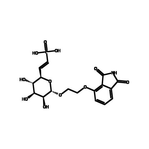 O=C1NC(=O)c2c(OCCO[C@H]3O[C@H](C=CP(=O)(O)O)[C@@H](O)[C@H](O)[C@@H]3O)cccc21